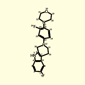 Fc1ccc2[nH]c3c(c2c1)CCN(c1ccc(N2CCOCC2)c(F)c1)C3